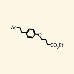 CCOC(=O)CCCOc1ccc(CCC(C)=O)cc1